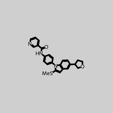 CSc1cc2cc(C3CCOC3)ccc2n1-c1ccc(NC(=O)c2cccnc2)cc1